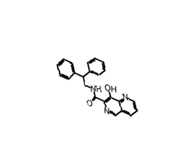 O=C(NCC(c1ccccc1)c1ccccc1)c1ncc2cccnc2c1O